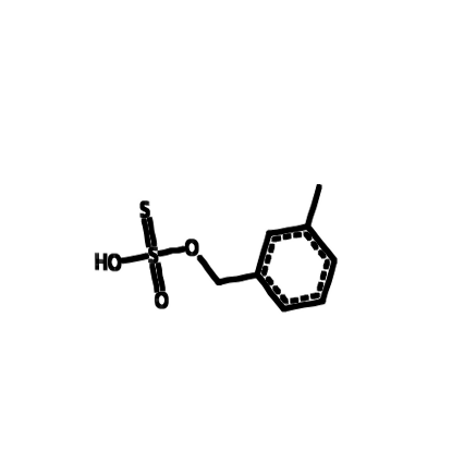 Cc1cccc(COS(=O)(O)=S)c1